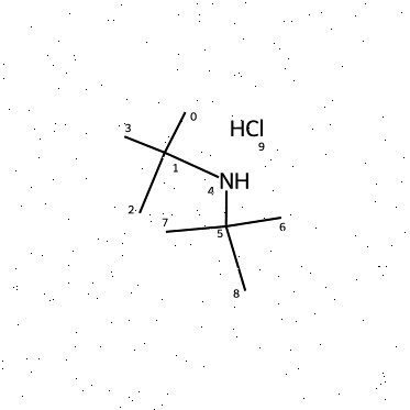 CC(C)(C)NC(C)(C)C.Cl